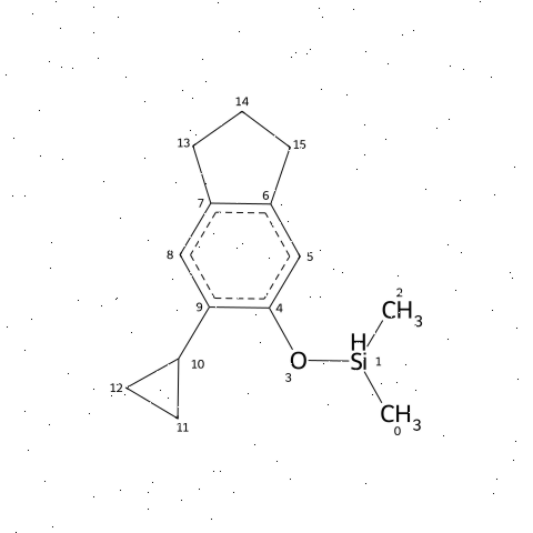 C[SiH](C)Oc1cc2c(cc1C1CC1)CCC2